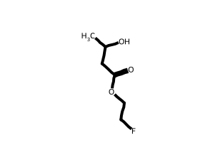 CC(O)CC(=O)OCCF